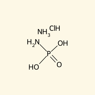 Cl.N.NP(=O)(O)O